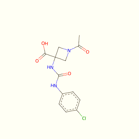 CC(=O)N1CC(NC(=O)Nc2ccc(Cl)cc2)(C(=O)O)C1